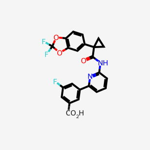 O=C(O)c1cc(F)cc(-c2cccc(NC(=O)C3(c4ccc5c(c4)OC(F)(F)O5)CC3)n2)c1